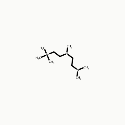 CN(C)CCN(C)CC[N+](C)(C)C